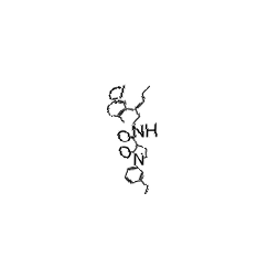 CC/C=C(/CCNC(=O)C1CCN(c2cccc(CC)c2)C1=O)c1cc(Cl)ccc1C